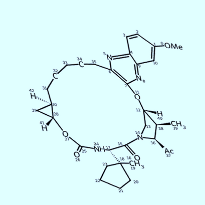 COc1ccc2nc3c(nc2c1)O[C@H]1CN(C(=O)[C@H](C2(C)CCCC2)NC(=O)O[C@@H]2C[C@H]2CCCCC3)[C@H](C(C)=O)[C@@H]1C